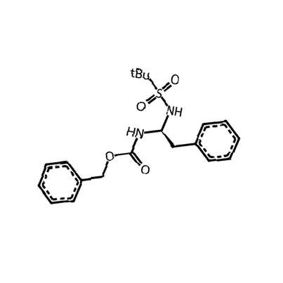 CC(C)(C)S(=O)(=O)N[C@@H](Cc1ccccc1)NC(=O)OCc1ccccc1